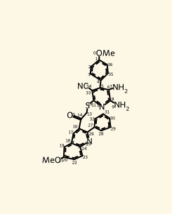 COc1ccc(-c2c(N)c(N)nc(SCC(=O)c3cc4cc(OC)ccc4nc3-c3ccccc3)c2C#N)cc1